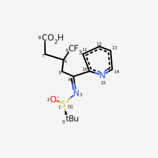 CC(C)(C)[S@@+]([O-])N=C(CC(CC(=O)O)C(F)(F)F)c1ccccn1